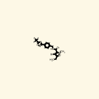 CCc1nn(C)c(C(=O)NCc2ccc(-c3noc(C(F)(F)F)n3)cc2)c1Br